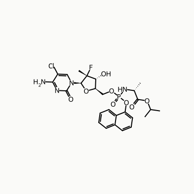 CC(C)OC(=O)[C@@H](C)NP(=O)(OC[C@H]1O[C@@H](n2cc(Cl)c(N)nc2=O)[C@](C)(F)[C@@H]1O)Oc1cccc2ccccc12